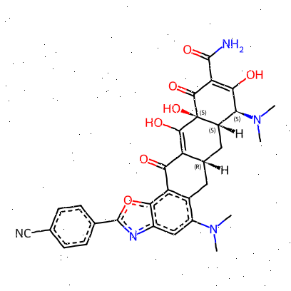 CN(C)c1cc2nc(-c3ccc(C#N)cc3)oc2c2c1C[C@H]1C[C@H]3[C@H](N(C)C)C(O)=C(C(N)=O)C(=O)[C@@]3(O)C(O)=C1C2=O